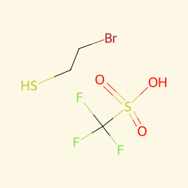 O=S(=O)(O)C(F)(F)F.SCCBr